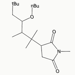 CCCCOC(CC(C)(C)C)C(C)C(C)(C)C1CC(=O)N(C)C1=O